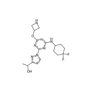 CC(O)c1ccn(-c2nc(NC3CCC(F)(F)CC3)cc(OC3CNC3)n2)n1